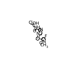 COc1ncc(F)cc1C1CCCN1c1ccn2ncc(C(=O)NCC(O)CCl)c2n1